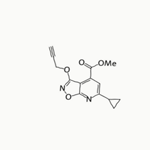 C#CCOc1noc2nc(C3CC3)cc(C(=O)OC)c12